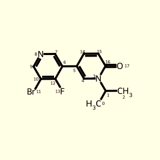 CC(C)n1cc(-c2cncc(Br)c2F)ccc1=O